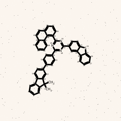 CC1(C)c2ccccc2-c2ccc(-c3ccc(-c4nc(-c5ccc6sc7ccccc7c6c5)nc(-c5cccc6ccc7ccccc7c56)n4)cc3)cc21